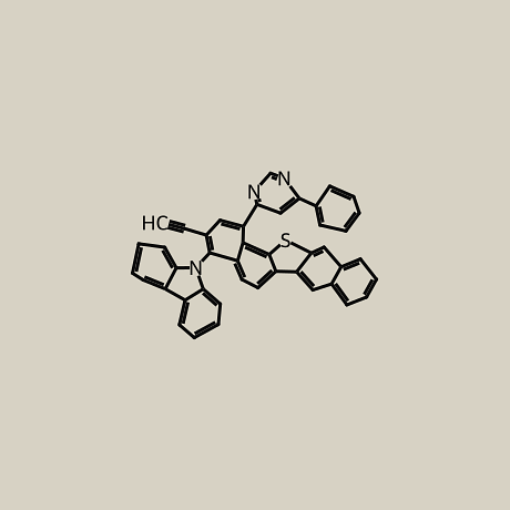 C#Cc1cc(-c2cc(-c3ccccc3)ncn2)c2c(ccc3c4cc5ccccc5cc4sc32)c1-n1c2ccccc2c2ccccc21